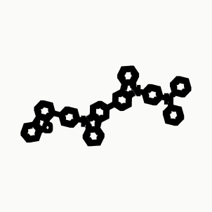 c1ccc(N(c2ccccc2)c2ccc(-n3c4ccccc4c4cc(-c5ccc6c(c5)c5ccccc5n6-c5ccc(-c6cccc7c6oc6ccccc67)cc5)ccc43)cc2)cc1